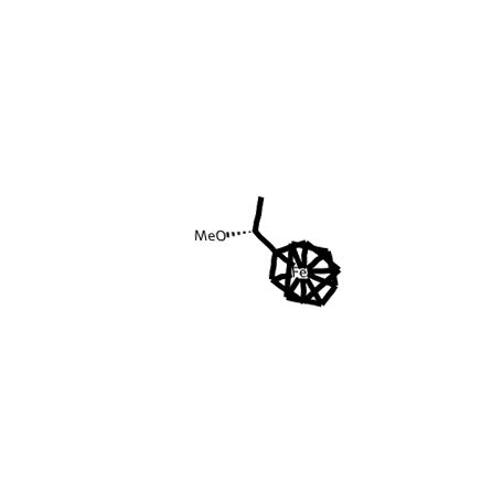 CO[C@H](C)[C]12[CH]3[CH]4[CH]5[CH]1[Fe]45321678[CH]2[CH]1[CH]6[CH]7[CH]28